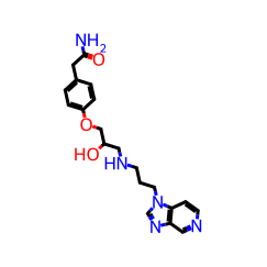 NC(=O)Cc1ccc(OCC(O)CNCCCn2cnc3cnccc32)cc1